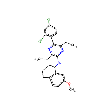 CCc1nc(-c2ccc(Cl)cc2Cl)c(CC)nc1NC1CCCc2ccc(OC)cc21